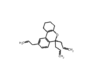 C=CCc1ccc2c(c1)C1=C(CCCC1)OC2(CC=C)CC=C